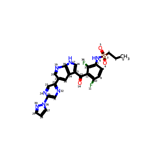 CCCS(=O)(=O)Nc1ccc(F)c(C(=O)c2c[nH]c3ncc(-c4cnc(-n5cccn5)cn4)cc23)c1F